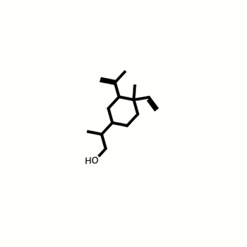 C=CC1(C)CCC(C(C)CO)CC1C(=C)C